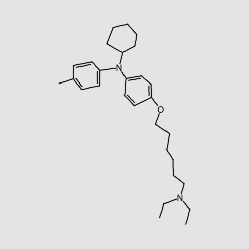 CCN(CC)CCCCCCOc1ccc(N(c2ccc(C)cc2)C2CCCCC2)cc1